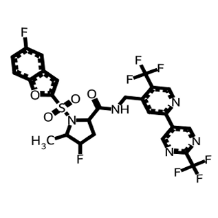 CC1C(F)CC(C(=O)NCc2cc(-c3cnc(C(F)(F)F)nc3)ncc2C(F)(F)F)N1S(=O)(=O)c1cc2cc(F)ccc2o1